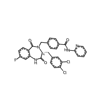 O=C(Nc1ccccn1)c1ccc(CN2C(=O)c3ccc(F)cc3NC(=O)[C@H]2Cc2ccc(Cl)c(Cl)c2)cc1